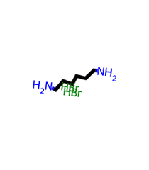 Br.Br.NCCCCCCN